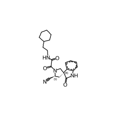 N#C[C@@H]1C[C@@]2(CN1C(=O)C(=O)NCCC1CCCCC1)C(=O)Nc1ccccc12